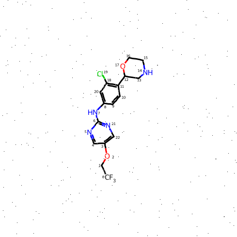 FC(F)(F)COc1cnc(Nc2ccc(C3CNCCO3)c(Cl)c2)nc1